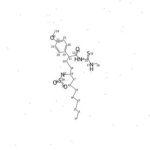 CCCCCCCCC(CCC(C(=O)NC(=S)NC)c1ccc(OC)cc1)N=S(=O)=O